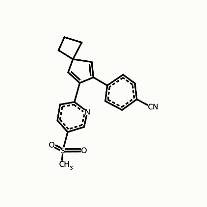 CS(=O)(=O)c1ccc(C2=CC3(C=C2c2ccc(C#N)cc2)CCC3)nc1